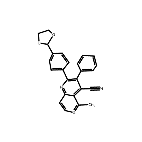 Cc1nccc2nc(-c3ccc(C4OCCO4)cc3)c(-c3ccccc3)c(C#N)c12